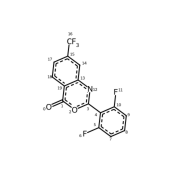 O=c1oc(-c2c(F)cccc2F)nc2cc(C(F)(F)F)ccc12